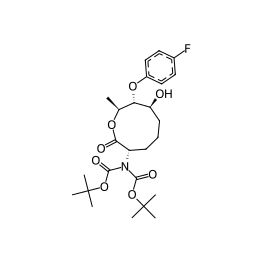 C[C@@H]1OC(=O)[C@@H](N(C(=O)OC(C)(C)C)C(=O)OC(C)(C)C)CCC[C@H](O)[C@H]1Oc1ccc(F)cc1